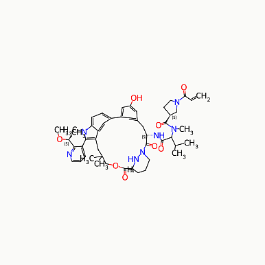 C=CC(=O)N1CC[C@H](C(=O)N(C)C(C(=O)N[C@H]2Cc3cc(O)cc(c3)-c3ccc4c(c3)c(c(-c3cccnc3[C@H](C)OC)n4C)CC(C)(C)COC(=O)[C@@H]3CCCN(N3)C2=O)C(C)C)C1